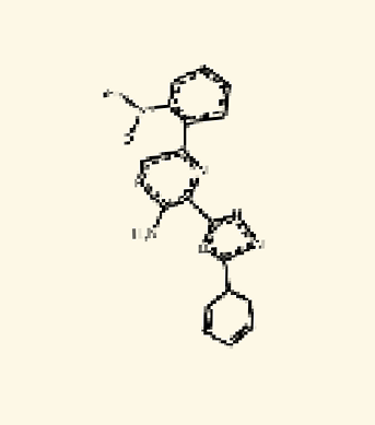 CC(C)[S+]([O-])c1ccccc1-c1cnc(N)c(-c2nnc(C3C=CC=CC3)o2)n1